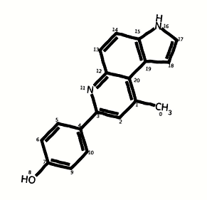 Cc1cc(-c2ccc(O)cc2)nc2ccc3[nH]ccc3c12